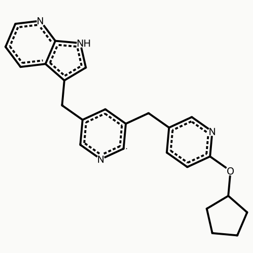 [c]1ncc(Cc2c[nH]c3ncccc23)cc1Cc1ccc(OC2CCCC2)nc1